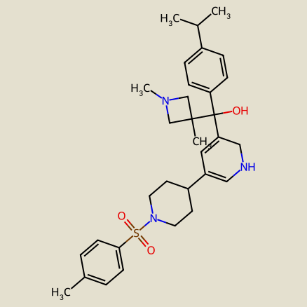 Cc1ccc(S(=O)(=O)N2CCC(C3=CNCC(C(O)(c4ccc(C(C)C)cc4)C4(C)CN(C)C4)=C3)CC2)cc1